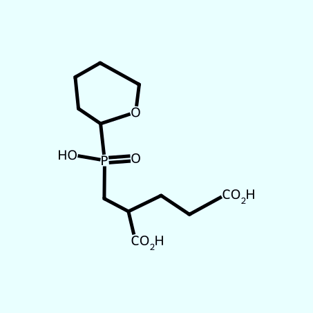 O=C(O)CCC(CP(=O)(O)C1CCCCO1)C(=O)O